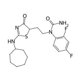 NC(=O)N(CCC1SC(NC2CCCCCC2)=NC1=O)c1ccc(F)cc1F